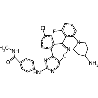 CNC(=O)c1ccc(Nc2ncc3c(n2)-c2ccc(Cl)cc2C(c2c(F)cccc2N2CCC(N)CC2)=NC3)cc1